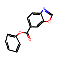 O=C(Oc1ccccc1)c1ccc2ncoc2c1